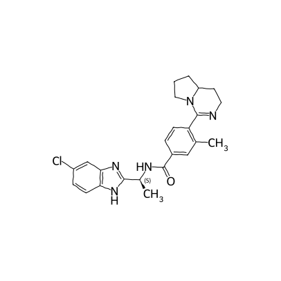 Cc1cc(C(=O)N[C@@H](C)c2nc3cc(Cl)ccc3[nH]2)ccc1C1=NCCC2CCCN12